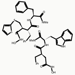 CNC(=O)[C@H](Cc1c[nH]c2ccccc12)NC(=O)[C@@H](CC(=O)NO)CC(C)C.CNC(=O)[C@H](Cc1ccccc1)NC(=O)[C@H](CC(C)C)[C@H](CSc1cccs1)C(=O)NO